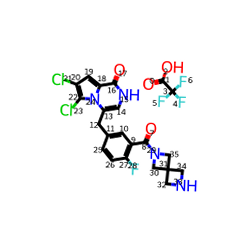 O=C(O)C(F)(F)F.O=C(c1cc(Cc2c[nH]c(=O)c3cc(Cl)c(Cl)n23)ccc1F)N1CC2(CNC2)C1